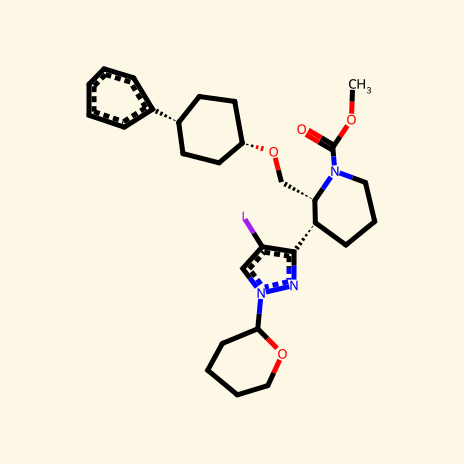 COC(=O)N1CCC[C@H](c2nn(C3CCCCO3)cc2I)[C@@H]1CO[C@H]1CC[C@@H](c2ccccc2)CC1